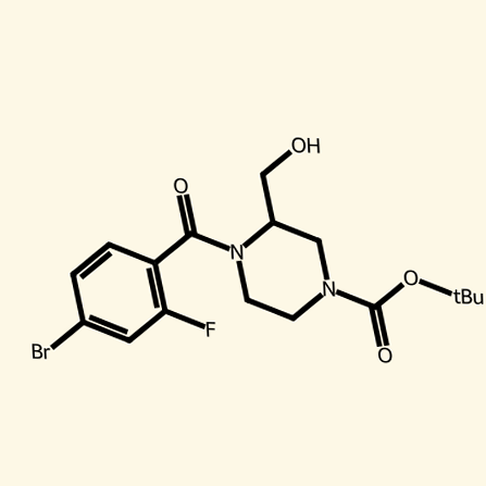 CC(C)(C)OC(=O)N1CCN(C(=O)c2ccc(Br)cc2F)C(CO)C1